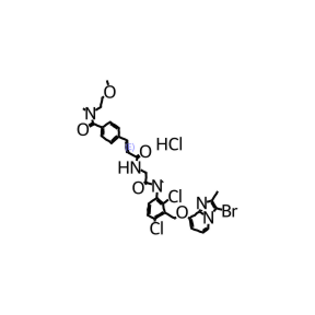 COCCN(C)C(=O)c1ccc(/C=C/C(=O)NCC(=O)N(C)c2ccc(Cl)c(COc3cccn4c(Br)c(C)nc34)c2Cl)cc1.Cl